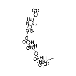 C=CCCC(=O)N[C@H](C(=O)N[C@@H](C)C(=O)Nc1ccc(C2=CN3C(=O)c4cc(OC)c(OCCCOc5cc6c(cc5OC)C(=O)N5C=C(c7ccc8c(c7)OCO8)C[C@H]5C=N6)cc4N=C[C@@H]3C2)cc1)C(C)C